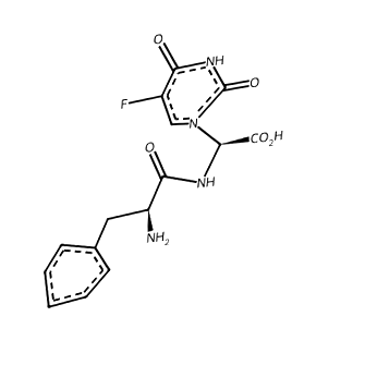 N[C@@H](Cc1ccccc1)C(=O)N[C@H](C(=O)O)n1cc(F)c(=O)[nH]c1=O